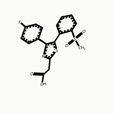 CS(=O)(=O)c1ccccc1-c1sc(CC(=O)O)nc1-c1ccc(F)cc1